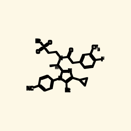 CCc1c(C2CC2)nc([C@@H](C)N(CCS(=O)(=O)CC)C(=O)Cc2ccc(F)c(C(F)(F)F)c2)n1-c1ccc(C#N)cc1